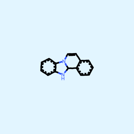 C1=CN2c3ccccc3NC2c2ccccc21